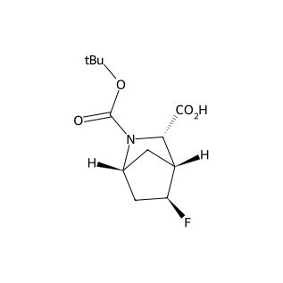 CC(C)(C)OC(=O)N1[C@@H]2C[C@H]([C@H]1C(=O)O)[C@@H](F)C2